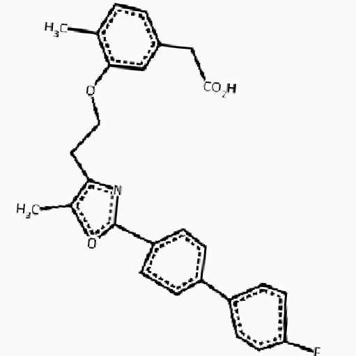 Cc1ccc(CC(=O)O)cc1OCCc1nc(-c2ccc(-c3ccc(F)cc3)cc2)oc1C